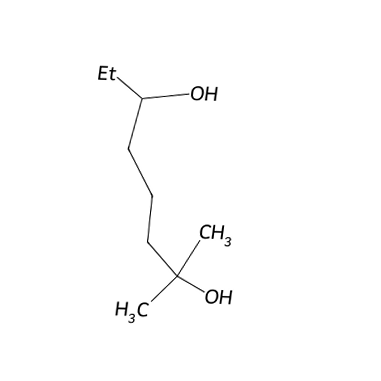 CCC(O)CCCC(C)(C)O